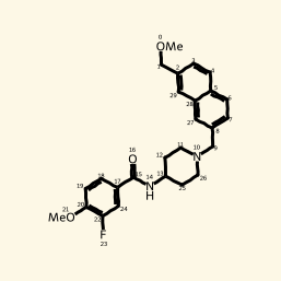 COCc1ccc2ccc(CN3CCC(NC(=O)c4ccc(OC)c(F)c4)CC3)cc2c1